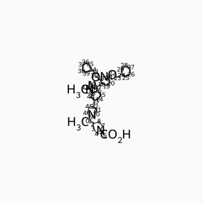 C[C@@H](C1CCN(C(=O)O)CC1)N1CC=C(c2ccc3c(-c4ccc(OCc5ccccc5)nc4OCc4ccccc4)nn(C)c3c2)CC1